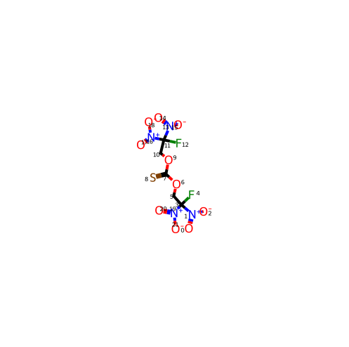 O=[N+]([O-])C(F)(COC(=S)OCC(F)([N+](=O)[O-])[N+](=O)[O-])[N+](=O)[O-]